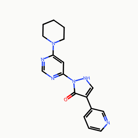 O=c1c(-c2cccnc2)c[nH]n1-c1cc(N2CCCCC2)ncn1